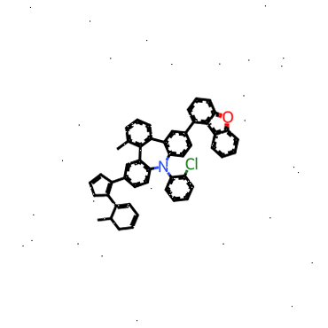 Cc1cccc2c1-c1cc(C3=C(C4=CC=CCC4C)CC=C3)ccc1N(c1ccccc1Cl)c1ccc(-c3cccc4oc5ccccc5c34)cc1-2